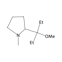 CCC(CC)(OC)C1CCCN1C